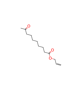 C=CCOC(=O)CCCCCCCC(C)=O